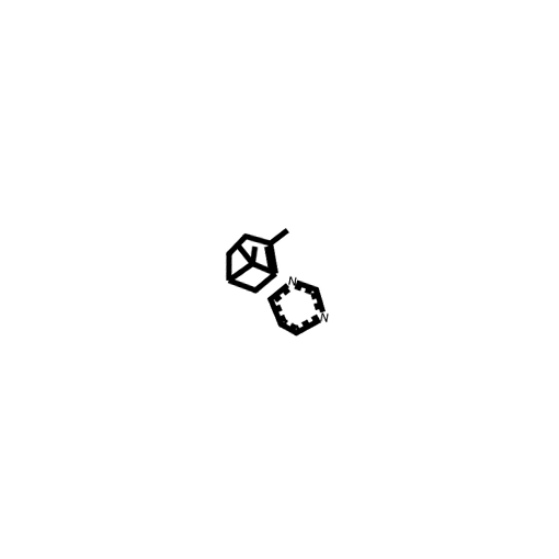 CC1=C2CC(CC1)C2(C)C.c1cncnc1